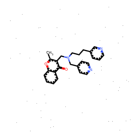 Cc1oc2ccccc2c(=O)c1CN(CCCc1cccnc1)Cc1ccncc1